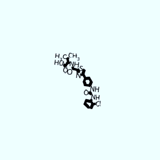 CC(C)C(NC(=O)c1nc(-c2ccc(NC(=O)Nc3ccccc3Cl)cc2)cs1)C(=O)O